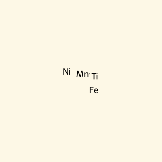 [Fe].[Mn].[Ni].[Ti]